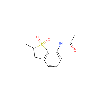 CC(=O)Nc1cccc2c1S(=O)(=O)C(C)C2